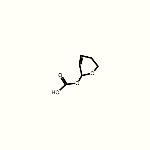 O=C(O)OC1C=CCCO1